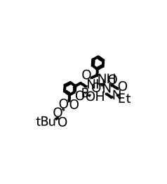 CCN1CCN(C(=O)NC(C(=O)N[C@H]2Cc3cccc(C(=O)OCOC(=O)C(C)(C)C)c3OB2O)c2ccccc2)C(=O)C1=O